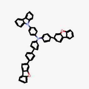 c1ccc2c(c1)oc1cc(-c3ccc(-c4ccc(N(c5ccc(-c6ccc7c(c6)oc6ccccc67)cc5)c5ccc(-n6c7ccccc7c7ccccc76)cc5)cc4)cc3)ccc12